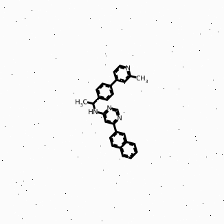 Cc1cc(-c2ccc(C(C)Nc3cc(-c4ccc5ccccc5c4)ncn3)cc2)ccn1